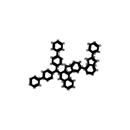 c1ccc(-c2ccc(N(c3ccc(-c4ccccc4)cc3)c3cc4ccccc4c4c3oc3ccc(-c5cccc6nc(-c7ccccc7)oc56)cc34)cc2)cc1